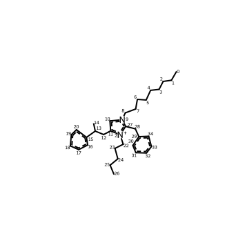 CCCCCCCCCn1cc(CC(C)c2ccccc2)[n+](CCCCC)c1Cc1ccccc1